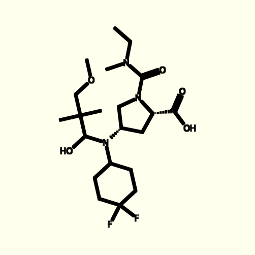 CCN(C)C(=O)N1C[C@@H](N(C2CCC(F)(F)CC2)C(O)C(C)(C)COC)C[C@H]1C(=O)O